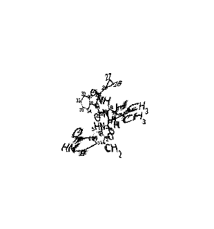 C=CC(=O)[C@H](C[C@@H]1CCNC1=O)NC(=O)[C@@H]1[C@@H]2[C@H](CN1C(=O)[C@@H](NC(=O)C1CC1)C1CCCCC1)C2(C)C